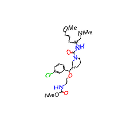 CNC[C@H](CCCOC)NC(=O)N1CCC[C@@H](C(OCCNC(=O)OC)c2cccc(Cl)c2)C1